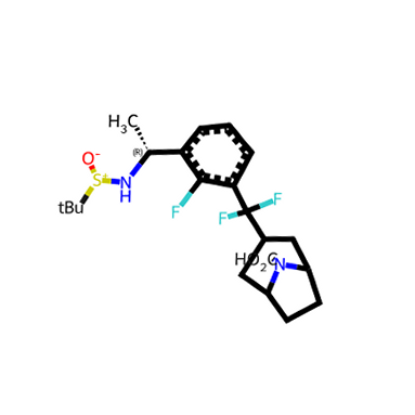 C[C@@H](N[S+]([O-])C(C)(C)C)c1cccc(C(F)(F)C2CC3CCC(C2)N3C(=O)O)c1F